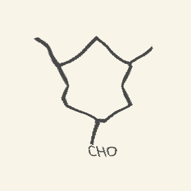 CC1CC(C)CC(C=O)C1